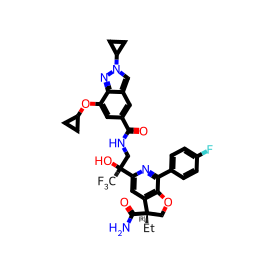 CC[C@]1(C(N)=O)COc2c1cc(C(O)(CNC(=O)c1cc(OC3CC3)c3nn(C4CC4)cc3c1)C(F)(F)F)nc2-c1ccc(F)cc1